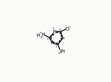 CC(C)c1cc(N)nc(Cl)c1